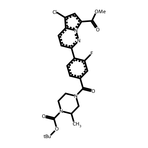 COC(=O)c1cc(Cl)c2ccc(-c3ccc(C(=O)N4CCN(C(=O)OC(C)(C)C)C(C)C4)cc3F)nn12